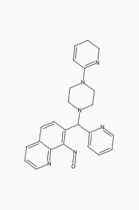 O=Nc1c(C(c2ccccn2)N2CCN(C3=NCCC=C3)CC2)ccc2cccnc12